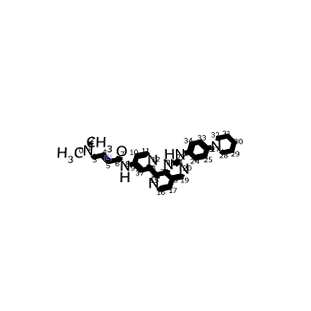 CN(C)C/C=C/C(=O)Nc1ccnc(-c2nccc3cnc(Nc4ccc(N5CCCCC5)cc4)nc23)c1